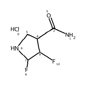 Cl.NC(=O)C1CNC(F)C1F